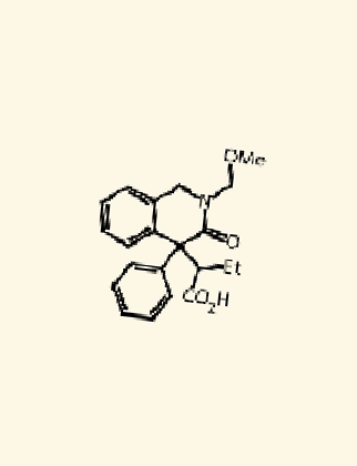 CCC(C(=O)O)C1(c2ccccc2)C(=O)N(COC)Cc2ccccc21